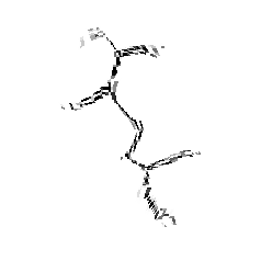 COC(=O)C=CC(=O)C(=O)O